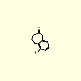 O=C1CCCc2c(Br)cccc2C1